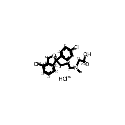 CN(CCCC1(c2ccc(Cl)cc2)OCc2c(Cl)cccc21)CC(=O)O.Cl